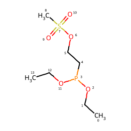 CCOP(CCOS(C)(=O)=O)OCC